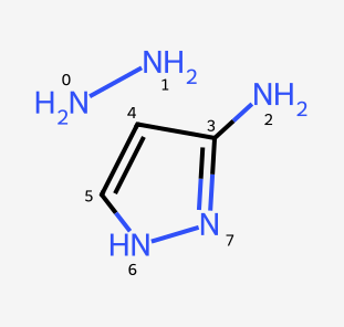 NN.Nc1cc[nH]n1